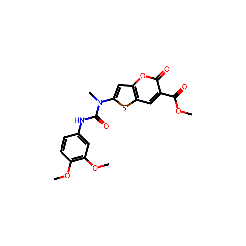 COC(=O)c1cc2sc(N(C)C(=O)Nc3ccc(OC)c(OC)c3)cc2oc1=O